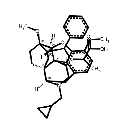 COc1ccc2c3c1O[C@H]1[C@@]4(OC)CC[C@@]5(C[C@@H]4C(NC(C)C(=O)O)c4ccccc4)[C@@H](C2)N(CC2CC2)CC[C@]315